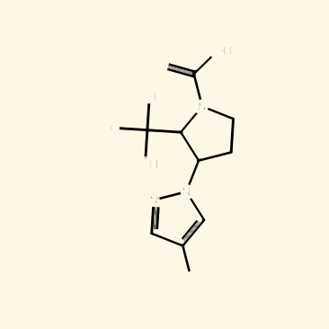 CC(C)(C)C1C(n2cc(Br)cn2)CCN1C(=O)O